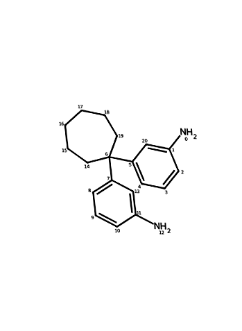 Nc1cccc(C2(c3cccc(N)c3)CCCCCC2)c1